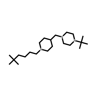 CC(C)(C)CCCCN1CCC(CN2CCN(C(C)(C)C)CC2)CC1